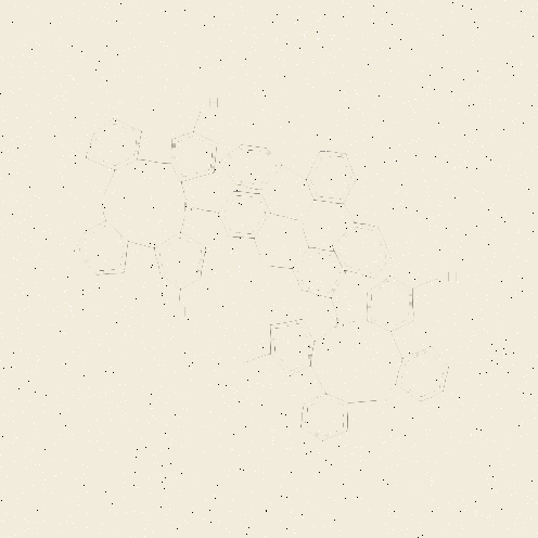 Cc1ccc2c(c1)-c1ccccc1Oc1ccccc1-c1cc(C)ccc1N2c1ccc2c(c1)Oc1cc(N3c4ccc(C)cc4-c4ccccc4Oc4ccccc4-c4cc(C)ccc43)ccc1B2c1c(-c2ccccc2)cccc1-c1ccccc1